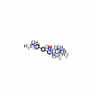 CN(C)c1ccc(-c2ccc(-c3ccc(N(C)C4CC(C)(C)NC(C)(C)C4)nn3)c(O)c2)cn1